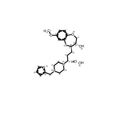 COc1ccc2c(c1)S[C@H](CCCN1CCN(Cc3cccs3)CC1)[C@@H](O)CO2.Cl.Cl